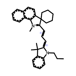 CCCN1/C(=C/C=C/C2=[N+](C)c3c(ccc4ccccc34)C23CCCCC3)C(C)(C)c2ccccc21